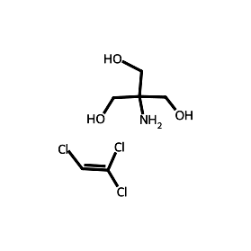 ClC=C(Cl)Cl.NC(CO)(CO)CO